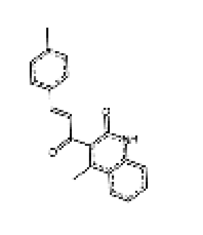 Cc1ccc(/C=C/C(=O)c2c(C)c3ccccc3[nH]c2=O)cc1